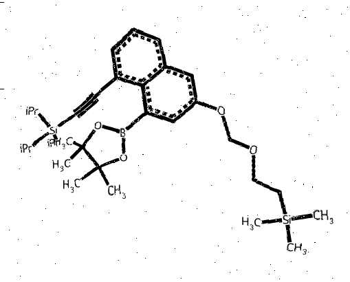 CC(C)[Si](C#Cc1cccc2cc(OCOCC[Si](C)(C)C)cc(B3OC(C)(C)C(C)(C)O3)c12)(C(C)C)C(C)C